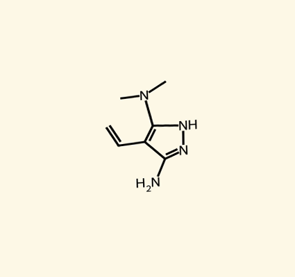 C=Cc1c(N)n[nH]c1N(C)C